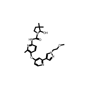 COCCn1cc(-c2cc(Oc3ccc(NC(=O)N4CCC(C)(C)C4O)nc3C)ccn2)cn1